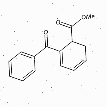 COC(=O)C1CC=CC=C1C(=O)c1ccccc1